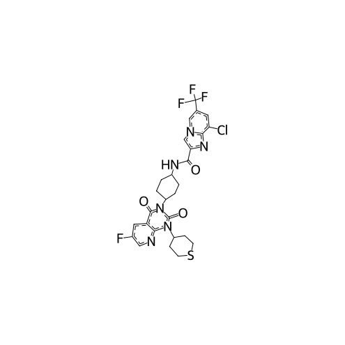 O=C(NC1CCC(n2c(=O)c3cc(F)cnc3n(C3CCSCC3)c2=O)CC1)c1cn2cc(C(F)(F)F)cc(Cl)c2n1